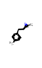 CC(=O)[C@@H]1N=C1CCc1ccc(C)cc1